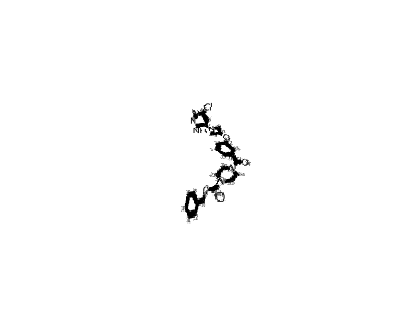 Nc1nnc(Cl)cc1N1CC(Oc2cccc(C(=O)N3CCN(C(=O)OCc4ccccc4)CC3)c2)C1